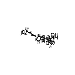 CN1CCC(F)(C#CC#Cc2ccc3nc(CC[C@](C)(C(=O)NO)S(C)(=O)=O)sc3c2)C1